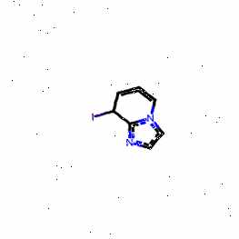 IC1C=C=Cn2ccnc21